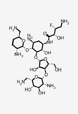 NC[C@@H]1CC[C@@H](N)[C@@H](O[C@H]2[C@H](O[C@@H]3O[C@H](CO)[C@@H](O[C@H]4O[C@@H](CN)[C@@H](O)[C@H](O)[C@H]4N)[C@H]3O)[C@@H](O)[C@H](NC(=O)[C@@H](O)[C@H](F)CN)C[C@@H]2N)O1